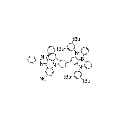 CC(C)(C)c1cc(N2c3ccccc3B3c4ccccc4N(c4cc(C(C)(C)C)cc(C(C)(C)C)c4)c4cc(-c5ccc6c(c5)c5ccccc5n6-c5ccc(C#N)cc5-c5cc(-c6ccccc6)nc(-c6ccccc6)n5)cc2c43)cc(C(C)(C)C)c1